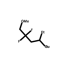 CCC(C)C(CC)CC(F)(F)COC